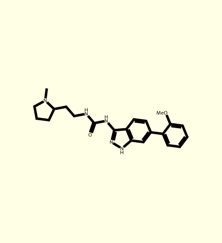 COc1ccccc1-c1ccc2c(NC(=O)NCCC3CCCN3C)n[nH]c2c1